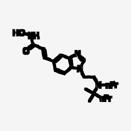 CCCN(CCn1cnc2cc(C=CC(=O)NO)ccc21)C(C)(C)CCC